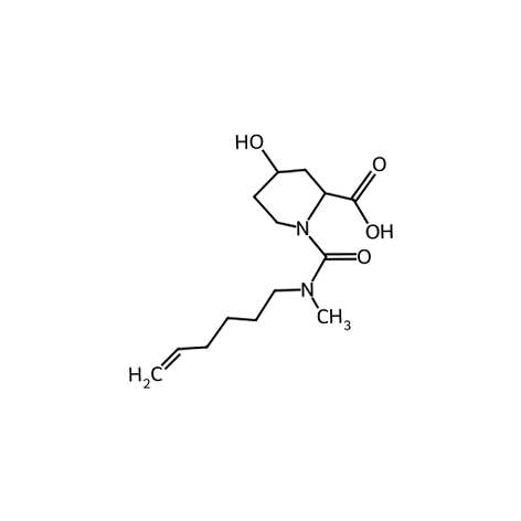 C=CCCCCN(C)C(=O)N1CCC(O)CC1C(=O)O